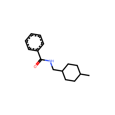 CC1CCC(CNC(=O)c2ccccc2)CC1